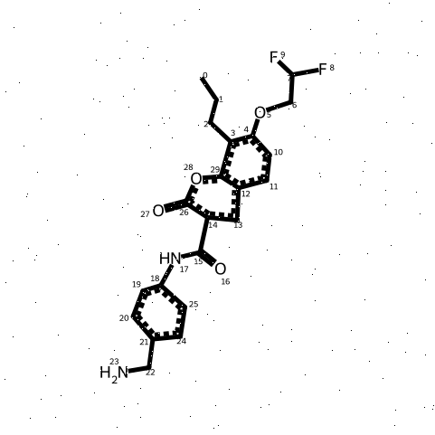 CCCc1c(OCC(F)F)ccc2cc(C(=O)Nc3ccc(CN)cc3)c(=O)oc12